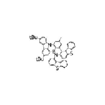 Cc1cc2c3c(c1)-n1c4ccc(C(C)(C)C)cc4c4cc(C(C)(C)C)cc(c41)B3N(c1cccc3sc4ccccc4c13)c1ccc3sc4ccccc4c3c1-2